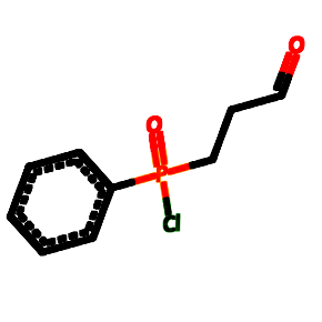 O=CCCP(=O)(Cl)c1ccccc1